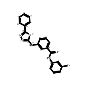 O=C(Nc1cccc(F)c1)c1cccc(Nc2nnc(-c3ccccc3)o2)c1